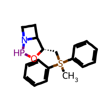 CS(C[C@@H]1OPN2CCC12)(c1ccccc1)c1ccccc1